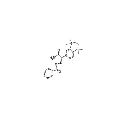 CC1(C)CCC(C)(C)c2cc(C(=NOC(=O)c3ccccc3)C(N)=O)ccc21